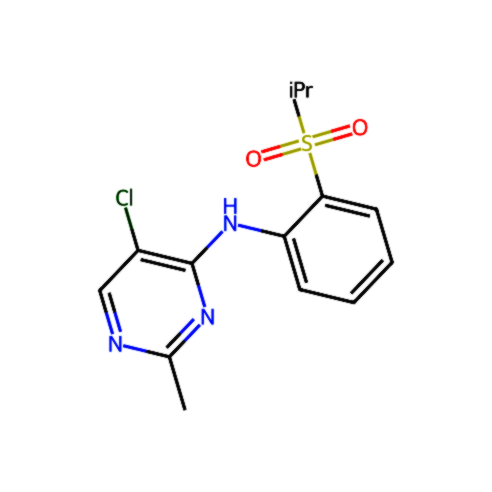 Cc1ncc(Cl)c(Nc2ccccc2S(=O)(=O)C(C)C)n1